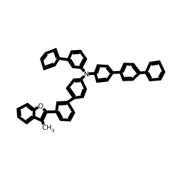 Cc1c(-c2cccc(-c3ccc(N(c4ccc(-c5ccc(-c6ccccc6)cc5)cc4)c4cccc(-c5ccccc5)c4)cc3)c2)oc2ccccc12